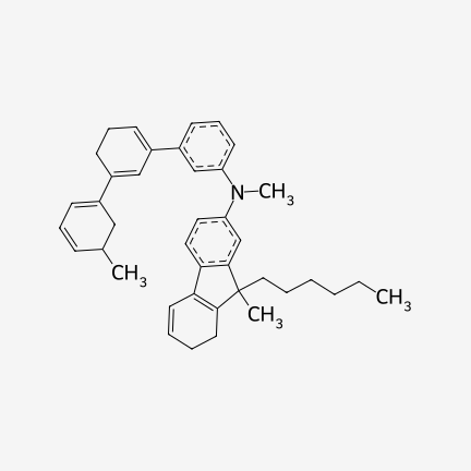 CCCCCCC1(C)C2=C(C=CCC2)c2ccc(N(C)c3cccc(C4=CCCC(C5=CC=CC(C)C5)=C4)c3)cc21